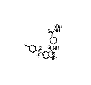 CCCCNC(=S)N1CCC(NS(=O)(=O)c2cc(S(=O)(=O)c3ccc(F)cc3)ccc2C(C)C)CC1